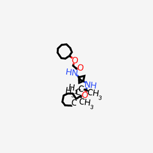 CC(C)(NC12CC(NC(=O)COC3CCCCCCCC3)(C1)C2)OC(C)(C)C1CCCCCCC1